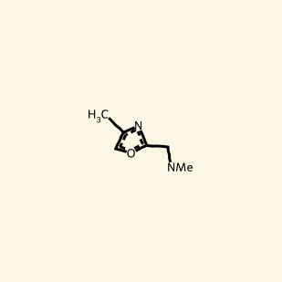 CNCc1nc(C)co1